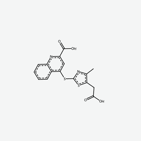 Cc1nc(Sc2cc(C(=O)O)nc3ccccc23)sc1CC(=O)O